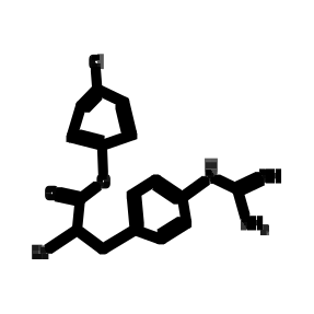 CCC(Cc1ccc(NC(=N)N)cc1)C(=O)Oc1ccc(Cl)cc1